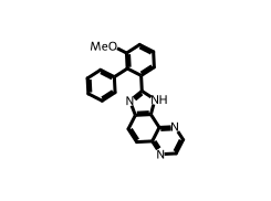 COc1cccc(-c2nc3ccc4nccnc4c3[nH]2)c1-c1ccccc1